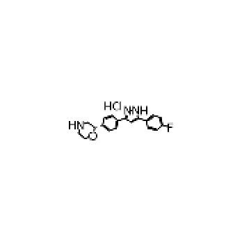 Cl.Fc1ccc(-c2cc(-c3ccc([C@H]4CNCCO4)cc3)n[nH]2)cc1